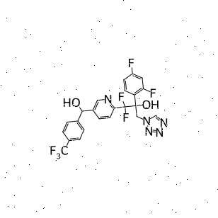 OC(c1ccc(C(F)(F)F)cc1)c1ccc(C(F)(F)C(O)(Cn2cnnn2)c2ccc(F)cc2F)nc1